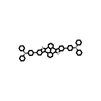 c1ccc(N(c2ccccc2)c2ccc(-c3ccc4c(c3)oc3c5cccc6c7c8ccc(-c9ccc(N(c%10ccccc%10)c%10ccccc%10)cc9)cc8sc7c7cccc(c43)c7c56)cc2)cc1